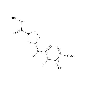 COC(=O)[C@H](C(C)C)N(C)C(=O)N(C)C1CCN(C(=O)OC(C)(C)C)C1